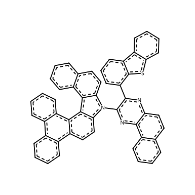 c1ccc2c(c1)ccc1nc(-c3cccc4c3sc3ccccc34)c(-n3c4ccc5ccccc5c4c4c5c6ccccc6c6ccccc6c5ccc43)nc12